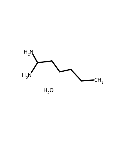 CCCCCC(N)N.O